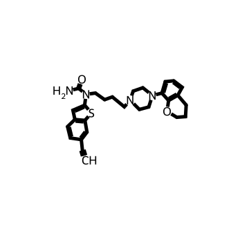 C#Cc1ccc2cc(N(CCCCN3CCN(c4cccc5c4OCCC5)CC3)C(N)=O)sc2c1